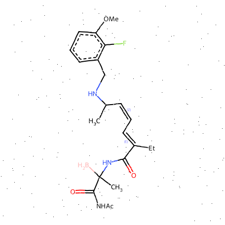 BC(C)(NC(=O)/C(=C/C=C\C(C)NCc1cccc(OC)c1F)CC)C(=O)NC(C)=O